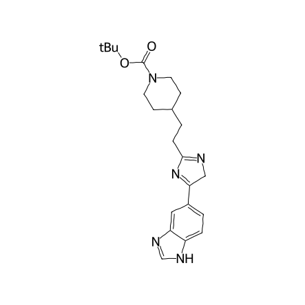 CC(C)(C)OC(=O)N1CCC(CCC2=NCC(c3ccc4[nH]cnc4c3)=N2)CC1